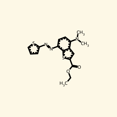 CCOC(=O)c1cc2c(N(C)C)ccc(/N=N/c3cccs3)c2s1